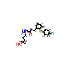 CC(CCCC(C)(C)O)NC(=O)CCc1ccccc1Sc1ccc(Cl)cc1